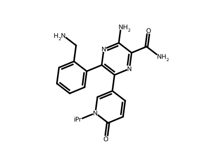 CC(C)n1cc(-c2nc(C(N)=O)c(N)nc2-c2ccccc2CN)ccc1=O